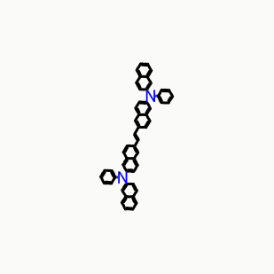 C(=C\c1ccc2cc(N(c3ccccc3)c3ccc4ccccc4c3)ccc2c1)/c1ccc2cc(N(c3ccccc3)c3ccc4ccccc4c3)ccc2c1